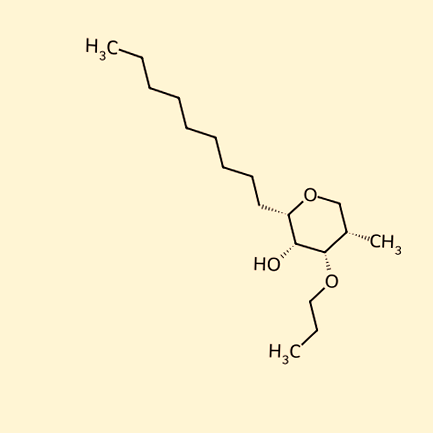 CCCCCCCCC[C@@H]1OC[C@H](C)[C@H](OCCC)[C@@H]1O